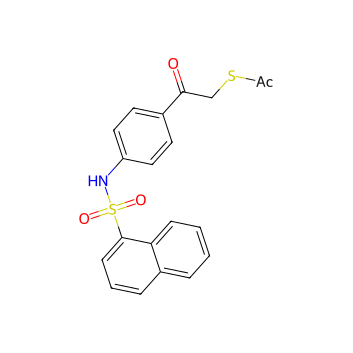 CC(=O)SCC(=O)c1ccc(NS(=O)(=O)c2cccc3ccccc23)cc1